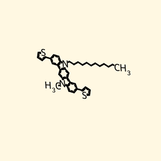 CCCCCCCCCCCCn1c2ccc(-c3cccs3)cc2c2cc3c(cc21)c1cc(-c2cccs2)ccc1n3C